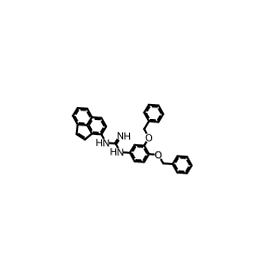 N=C(Nc1ccc(OCc2ccccc2)c(OCc2ccccc2)c1)Nc1ccc2cccc3c2c1C=C3